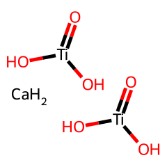 [CaH2].[O]=[Ti]([OH])[OH].[O]=[Ti]([OH])[OH]